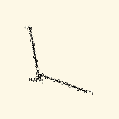 COCCOCCOCCOCCOCCOCCOCCOCCOCCOCCOCCOc1cc(CC(C)(C)C)cc(OCCOCCOCCOCCOCCOCCOCCOCCOCCOCCOCCOC)c1